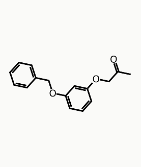 CC(=O)COc1cccc(OCc2ccccc2)c1